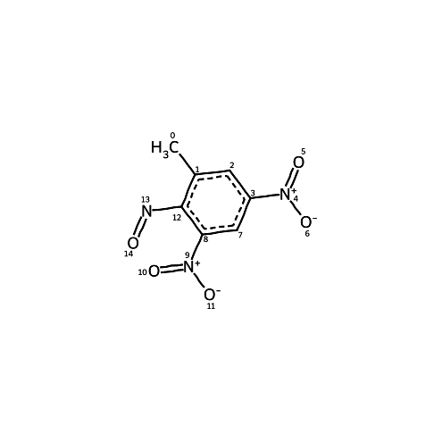 Cc1cc([N+](=O)[O-])cc([N+](=O)[O-])c1N=O